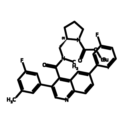 Cc1cc(F)cc(-c2cnc3ccc(-c4[c]ccc(F)c4)cc3c2C(=O)N(C)C[C@@H]2CCCN2C(=O)OC(C)(C)C)c1